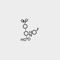 O=C(O)c1ccc(-c2ccc([N+](=O)[O-])cc2)cc1Nc1ccc(F)cc1